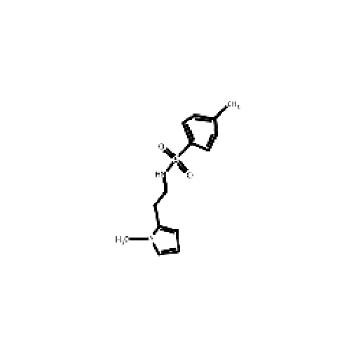 Cc1ccc(S(=O)(=O)NCCc2cccn2C)cc1